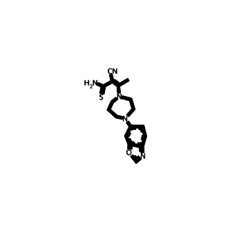 CC(=C(C#N)C(N)=S)N1CCCN(c2ccc3ncoc3c2)CC1